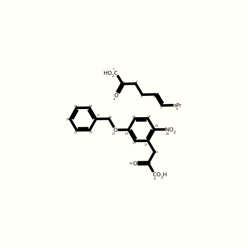 CCCC=CCCC(=O)C(=O)O.O=C(O)C(=O)Cc1cc(OCc2ccccc2)ccc1[N+](=O)[O-]